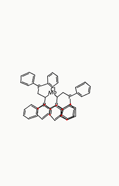 [Cl][Mo]([CH](CP(c1ccccc1)c1ccccc1)P(c1ccccc1)c1ccccc1)[CH](CP(c1ccccc1)c1ccccc1)P(c1ccccc1)c1ccccc1